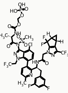 Cc1ccc(-c2ccc(Cl)c3c(N(C(=O)[C@H](C)NC(=O)OCOP(=O)(O)O)S(C)(=O)=O)nn(CC(F)(F)F)c23)c([C@H](Cc2cc(F)cc(F)c2)NC(=O)Cn2nc(C(F)(F)F)c3c2C(F)(F)[C@@H]2C[C@H]32)n1